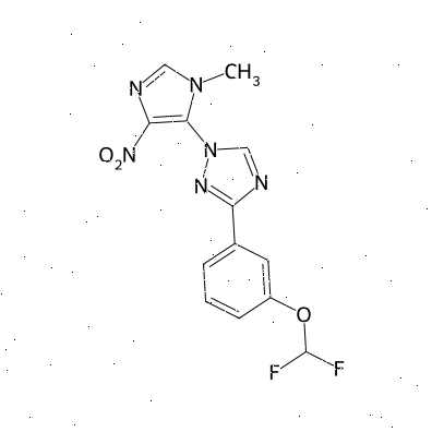 Cn1cnc([N+](=O)[O-])c1-n1cnc(-c2cccc(OC(F)F)c2)n1